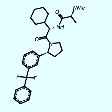 CN[C@@H](C)C(=O)N[C@H](C(=O)N1CCC[C@H]1c1cccc(C(F)(F)c2ccccc2)c1)C1CCCCC1